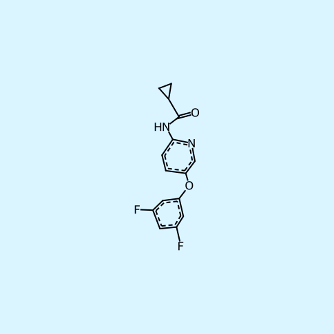 O=C(Nc1ccc(Oc2cc(F)cc(F)c2)cn1)C1CC1